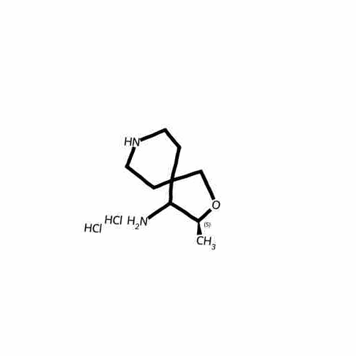 C[C@@H]1OCC2(CCNCC2)C1N.Cl.Cl